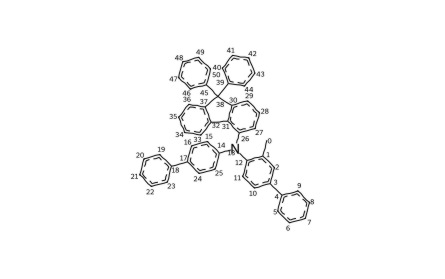 Cc1cc(-c2ccccc2)ccc1N(c1ccc(-c2ccccc2)cc1)c1cccc2c1-c1ccccc1C2(c1ccccc1)c1ccccc1